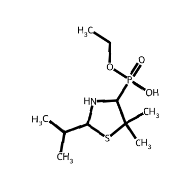 CCOP(=O)(O)C1NC(C(C)C)SC1(C)C